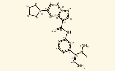 CN(N)/C(=N\N)c1cccc(NC(=O)c2cnn3ccc(N4CCCC4)cc23)c1